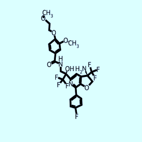 COCCOc1ccc(C(=O)NC[C@](O)(c2cc3c(c(-c4ccc(F)cc4)n2)OC[C@@]3(N)C(F)(F)F)C(F)(F)F)cc1OC